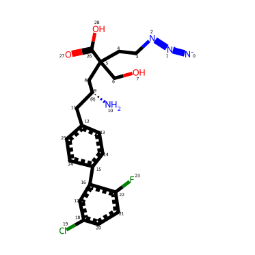 [N-]=[N+]=NCCC(CO)(C[C@H](N)Cc1ccc(-c2cc(Cl)ccc2F)cc1)C(=O)O